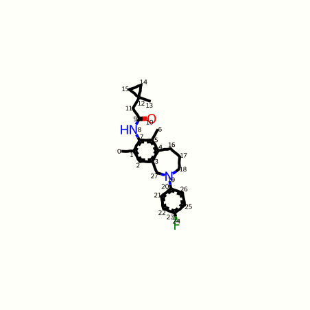 Cc1cc2c(c(C)c1NC(=O)CC1(C)CC1)CCCN(c1ccc(F)cc1)C2